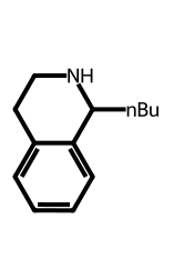 [CH2]CCCC1NCCc2ccccc21